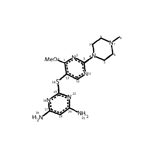 COc1nc(N2CCN(C)CC2)ncc1Sc1nc(N)cc(N)n1